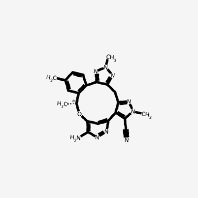 Cc1ccc2c(c1)[C@@H](C)Oc1cc(nnc1N)-c1c(nn(C)c1C#N)Cc1nn(C)nc1-2